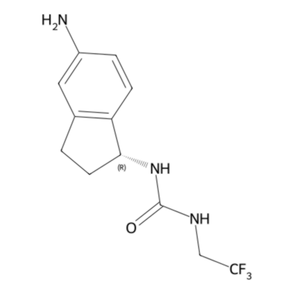 Nc1ccc2c(c1)CC[C@H]2NC(=O)NCC(F)(F)F